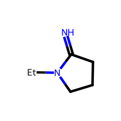 CCN1CCCC1=N